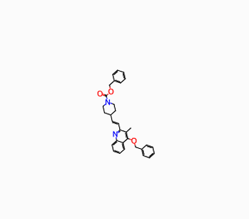 Cc1c(C=CC2CCN(C(=O)OCc3ccccc3)CC2)nc2ccccc2c1OCc1ccccc1